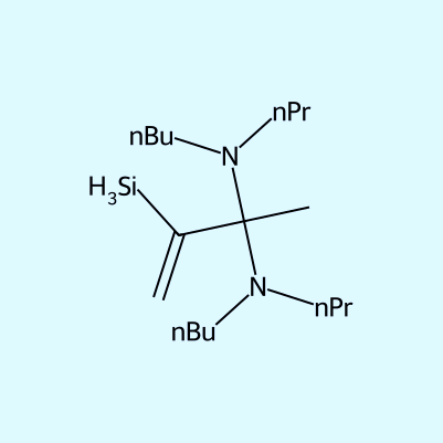 C=C([SiH3])C(C)(N(CCC)CCCC)N(CCC)CCCC